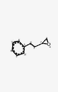 [CH](CC1CO1)c1ccccc1